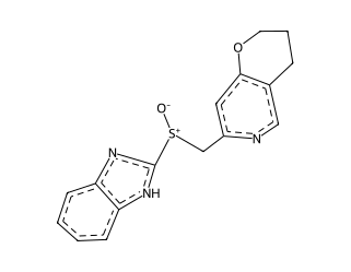 [O-][S+](Cc1cc2c(cn1)CCCO2)c1nc2ccccc2[nH]1